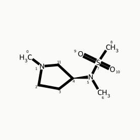 CN1CC[C@H](N(C)S(C)(=O)=O)C1